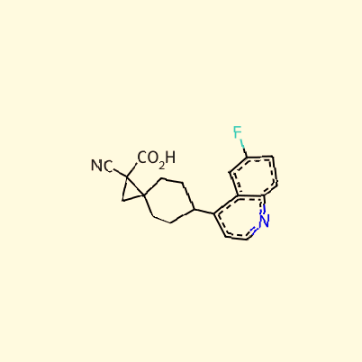 N#CC1(C(=O)O)CC12CCC(c1ccnc3ccc(F)cc13)CC2